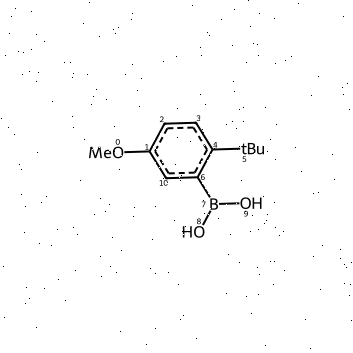 COc1ccc(C(C)(C)C)c(B(O)O)c1